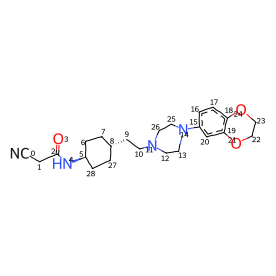 N#CCC(=O)N[C@H]1CC[C@H](CCN2CCN(c3ccc4c(c3)OCCO4)CC2)CC1